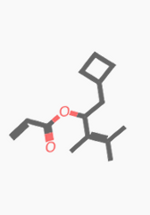 C=CC(=O)OC(CC1CCC1)C(C)=C(C)C